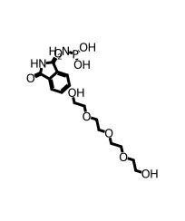 NP(O)O.O=C1NC(=O)c2ccccc21.OCCOCCOCCOCCO